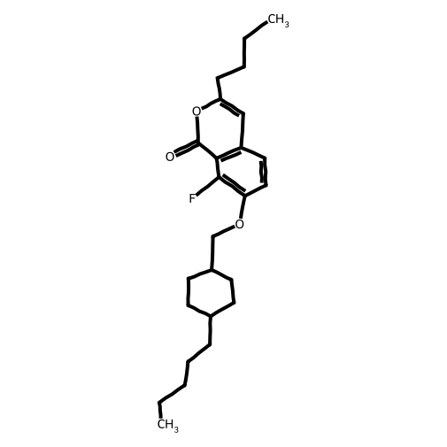 CCCCCC1CCC(COc2ccc3cc(CCCC)oc(=O)c3c2F)CC1